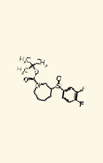 CC(C)(C)OC(=O)N1CCCCC([S+]([O-])c2ccc(F)c(F)c2)C1